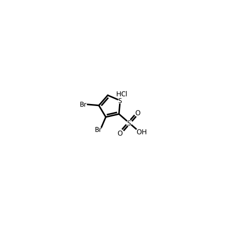 Cl.O=S(=O)(O)c1scc(Br)c1Br